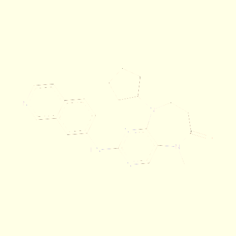 CN1C(=O)CCN(C2CCCC2)c2nc(Nc3ccc4ccncc4c3)ncc21